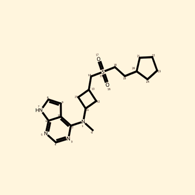 CN(c1ncnc2[nH]ccc12)C1CC(CS(=O)(=O)CCC2CCCC2)C1